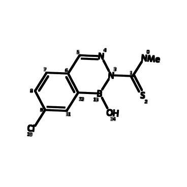 CNC(=S)N1N=Cc2ccc(Cl)cc2B1O